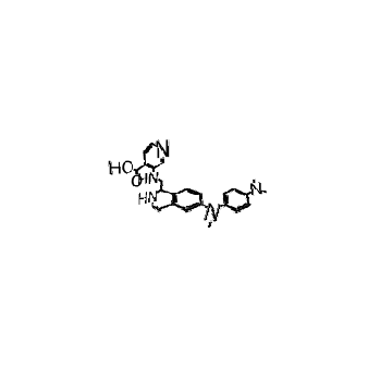 CN(C)c1ccc(N(C)c2ccc3c(c2)CCNC3CNc2cnccc2C(=O)O)cc1